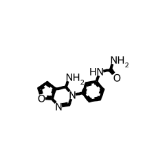 NC(=O)Nc1cccc(N2C=Nc3occc3C2N)c1